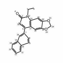 CCn1c(=O)nc(-c2ccc3ccccc3c2)c2cc3c(cc21)OCO3